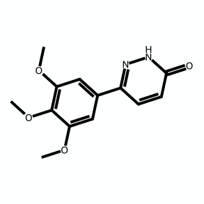 COc1cc(-c2ccc(=O)[nH]n2)cc(OC)c1OC